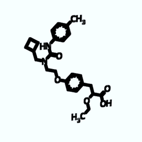 CCOC(Cc1ccc(OCCN(CC2CCC2)C(=O)Nc2ccc(C)cc2)cc1)C(=O)O